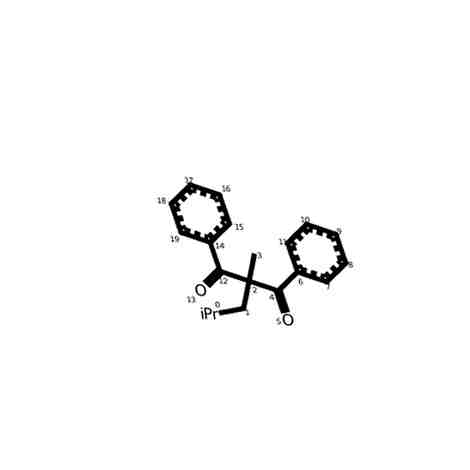 CC(C)CC(C)(C(=O)c1ccccc1)C(=O)c1ccccc1